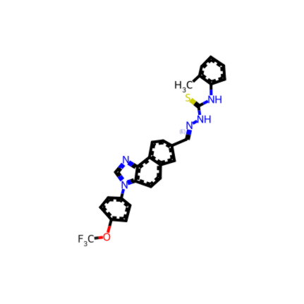 Cc1ccccc1NC(=S)N/N=C/c1ccc2c(ccc3c2ncn3-c2ccc(OC(F)(F)F)cc2)c1